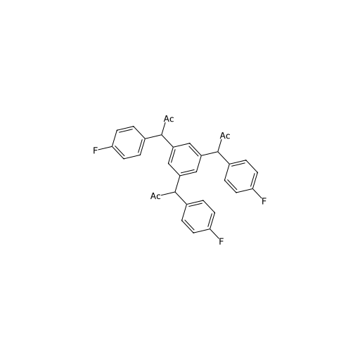 CC(=O)C(c1ccc(F)cc1)c1cc(C(C(C)=O)c2ccc(F)cc2)cc(C(C(C)=O)c2ccc(F)cc2)c1